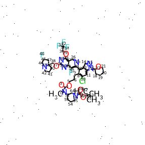 CN(C(=O)OCCCc1c(Cl)cc2c(cnn2C2CCCCO2)c1-c1ncc2c(OCC(F)(F)F)nc(OC[C@@]34CCCN3C[C@H](F)C4)nc2c1F)[C@@H]1CCCN(C(=O)OC(C)(C)C)C1